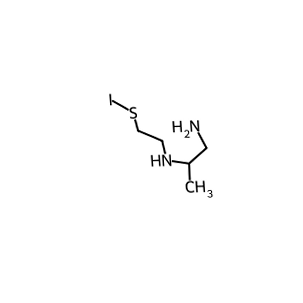 CC(CN)NCCSI